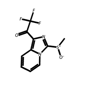 C[S+]([O-])c1nc(C(=O)C(F)(F)F)c2ccccn12